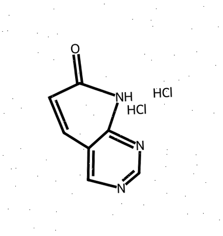 Cl.Cl.O=c1ccc2cncnc2[nH]1